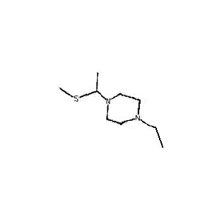 CCN1CCN(C(C)SC)CC1